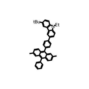 CCn1c2ccc(-c3ccc(-c4c5ccc(C)cc5c(-c5ccccc5)c5ccc(C)cc45)cc3)cc2c2cc(C(C)(C)C)ccc21